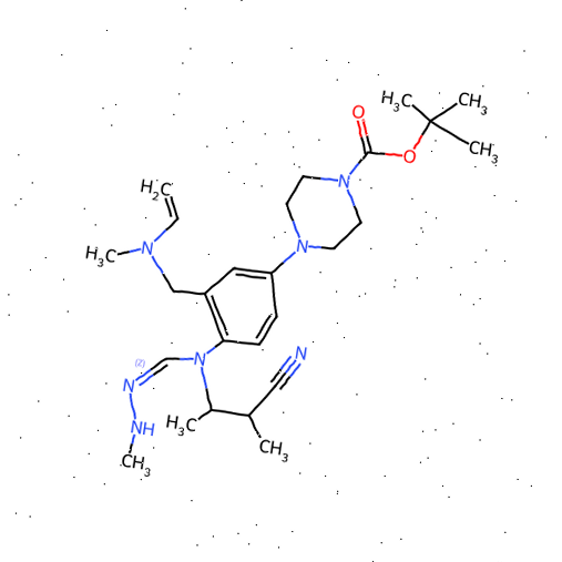 C=CN(C)Cc1cc(N2CCN(C(=O)OC(C)(C)C)CC2)ccc1N(/C=N\NC)C(C)C(C)C#N